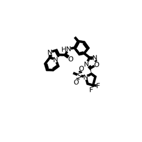 Cc1ccc(-c2noc([C@@H]3CC(F)(F)CN3S(C)(=O)=O)n2)cc1NC(=O)c1cnc2ccccn12